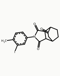 Cc1ccc(N2C(=O)C3C4CCC(C(=O)C4)C3C2=O)cc1I